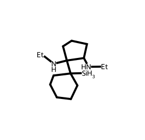 CCNC1CCCC1(NCC)C1([SiH3])CCCCC1